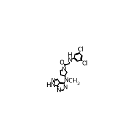 CN(c1ncnc2[nH]ncc12)C1CCN(C(=O)CNc2cc(Cl)cc(Cl)c2)C1